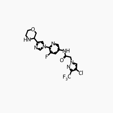 O=C(Cn1cc(Cl)c(C(F)(F)F)n1)Nc1cnc(-n2cnc(C3COCCN3)c2)c(F)c1